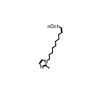 CCCCCCCC/C=C\CCCCCCCCn1ccnc1C